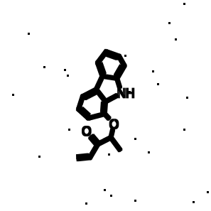 C=CC(=O)C(C)Oc1cccc2c1[nH]c1ccccc12